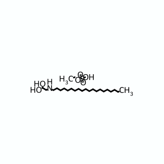 CCCCCCCCCCCCCCCCCCCCNCC(O)O.CCOS(=O)(=O)O